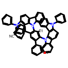 CCc1c(-n2c3ccccc3c3ccc4c(c5ccccc5n4-c4ccccc4)c32)c(-c2cccc(C#N)c2)cc(-c2cccc(C#N)c2)c1-n1c2ccccc2c2ccc3c(c4ccccc4n3-c3ccccc3)c21